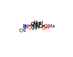 COC[C@@]1(O)CC[C@H]2[C@H](CC[C@@H]3[C@@H]2CC[C@]2(CC(C)C)[C@@H](C(=O)Cn4cc(C#N)cn4)CC[C@@H]32)C1